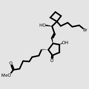 COC(=O)CCCCCC[C@H]1C(=O)C[C@@H](O)[C@@H]1C=C[C@@H](O)C1(CCCCBr)CCC1